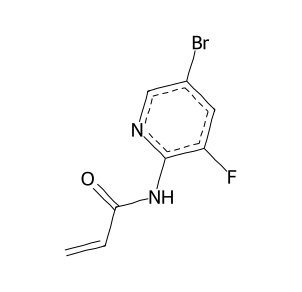 C=CC(=O)Nc1ncc(Br)cc1F